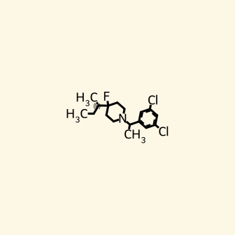 CC[C@@H](C)C1(F)CCN(C(C)c2cc(Cl)cc(Cl)c2)CC1